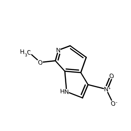 COc1nccc2c([N+](=O)[O-])c[nH]c12